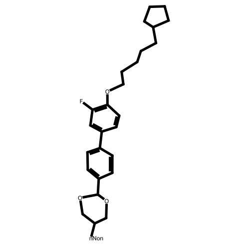 CCCCCCCCCC1COC(c2ccc(-c3ccc(OCCCCCC4CCCC4)c(F)c3)cc2)OC1